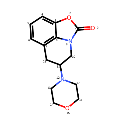 O=c1oc2cccc3c2n1CC(N1CCOCC1)C3